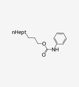 CCCCCCCCCCOC(=O)Nc1ccccc1